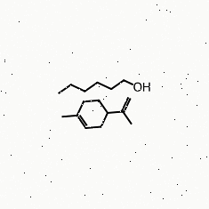 C=C(C)C1CC=C(C)CC1.CCCCCCO